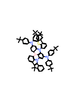 CC(C)(C)c1ccc(N(C2=CCC3B4c5c(cc(N(c6ccc(C(C)(C)C)cc6)c6ccc(C(C)(C)C)cc6)cc5-n5c6c(c7cccc4c75)C(C)(C)c4ccccc4-6)N(c4cccc5c4sc4cc(C(C)(C)C)ccc45)C3=C2)c2ccc(C(C)(C)C)cc2)cc1